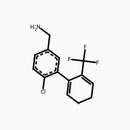 NCc1ccc(Cl)c(C2=C[CH]CC=C2C(F)(F)F)c1